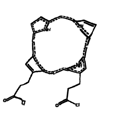 O=C(Cl)CCC1=Cc2cc3ccc(cc4nc(cc5cc(CCC(=O)Cl)c(cc1n2)[nH]5)C=C4)[nH]3